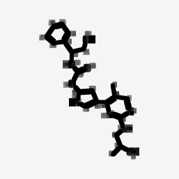 Cc1cnc(NCC(C)O)nc1-c1c[nH]c(OC(=O)NC(CO)c2ccccc2)c1